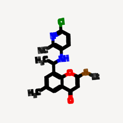 CCSc1cc(=O)c2cc(C)cc(C(C)Nc3ccc(Cl)nc3C#N)c2o1